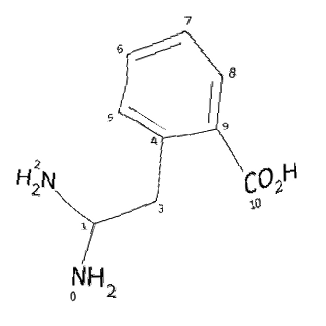 NC(N)Cc1ccccc1C(=O)O